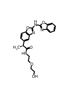 C[C@H](C(=O)NCCOCCO)c1ccc2oc(Nc3nc4ccccc4o3)nc2c1